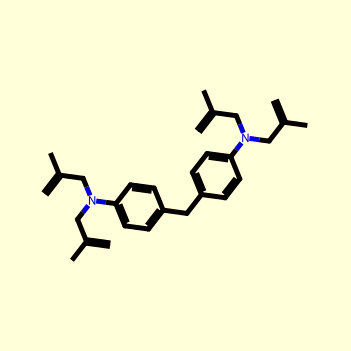 C=C(C)CN(CC(=C)C)c1ccc(Cc2ccc(N(CC(=C)C)CC(=C)C)cc2)cc1